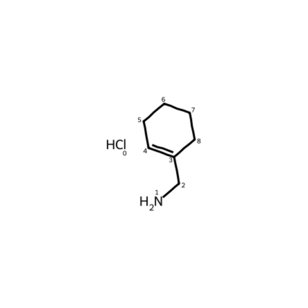 Cl.NCC1=CCCCC1